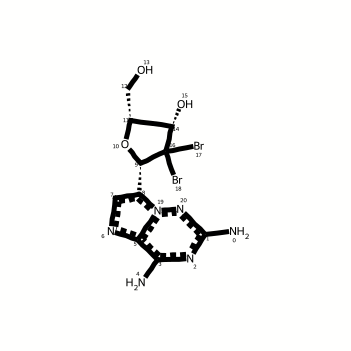 Nc1nc(N)c2ncc([C@@H]3O[C@H](CO)[C@H](O)C3(Br)Br)n2n1